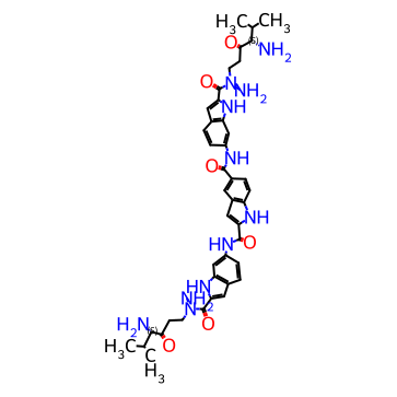 CC(C)[C@H](N)C(=O)CCN(N)C(=O)c1cc2ccc(NC(=O)c3ccc4[nH]c(C(=O)Nc5ccc6cc(C(=O)N(N)CCC(=O)[C@@H](N)C(C)C)[nH]c6c5)cc4c3)cc2[nH]1